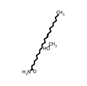 CCCCCCCCC=CCCCCCCCCCCCC(N)=O.CO